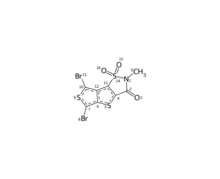 CN1C(=O)c2sc3c(Br)sc(Br)c3c2S1(=O)=O